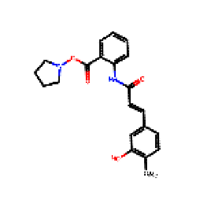 COc1ccc(/C=C/C(=O)Nc2ccccc2C(=O)ON2CCCC2)cc1O